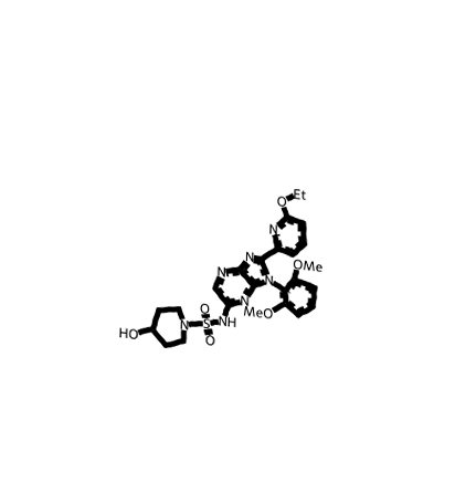 CCOc1cccc(-c2nc3ncc(NS(=O)(=O)N4CCC(O)CC4)nc3n2-c2c(OC)cccc2OC)n1